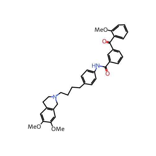 COc1cc2c(cc1OC)CN(CCCCc1ccc(NC(=O)c3cccc(C(=O)c4ccccc4OC)c3)cc1)CC2